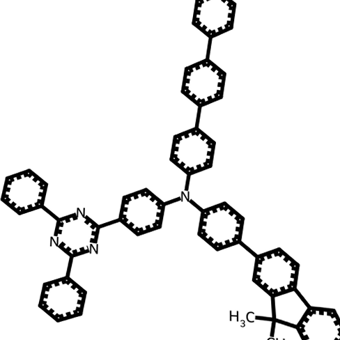 CC1(C)c2ccccc2-c2ccc(-c3ccc(N(c4ccc(-c5ccc(-c6ccccc6)cc5)cc4)c4ccc(-c5nc(-c6ccccc6)nc(-c6ccccc6)n5)cc4)cc3)cc21